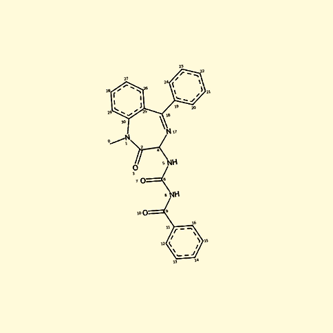 CN1C(=O)C(NC(=O)NC(=O)c2ccccc2)N=C(c2ccccc2)c2ccccc21